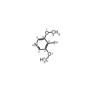 COc1[c]ncc(OC)c1I